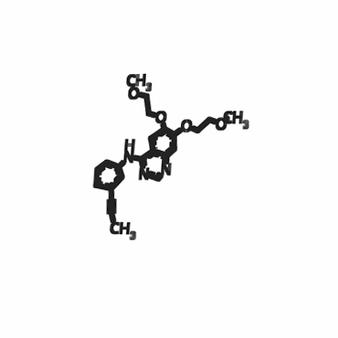 CC#Cc1cccc(Nc2ncnc3cc(OCCOC)c(OCCOC)cc23)c1